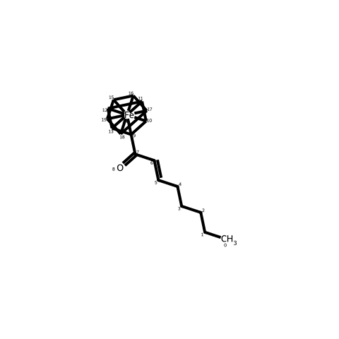 CCCCCC=CC(=O)[C]12[CH]3[CH]4[CH]5[CH]1[Fe]45321678[CH]2[CH]1[CH]6[CH]7[CH]28